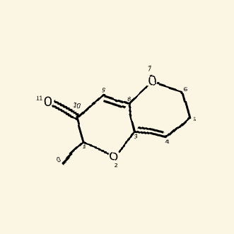 CC1OC2=CCCOC2=CC1=O